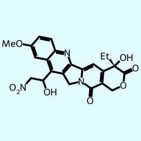 CC[C@@]1(O)C(=O)OCc2c1cc1n(c2=O)Cc2c-1nc1ccc(OC)cc1c2C(O)C[N+](=O)[O-]